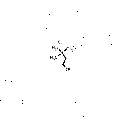 C[N+](C)(C)CCO.[C]